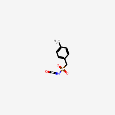 Cc1ccc(CS(=O)(=O)N=C=O)cc1